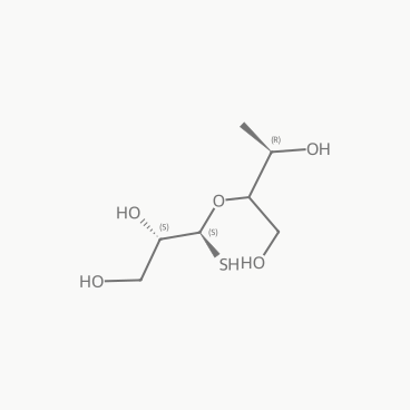 C[C@@H](O)C(CO)O[C@@H](S)[C@@H](O)CO